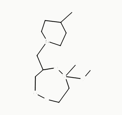 CO[Si]1(C)CCCOCC(CN2CCC(C)CC2)O1